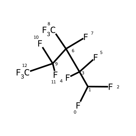 FC(F)C(F)(F)C(F)(C(F)(F)F)C(F)(F)C(F)(F)F